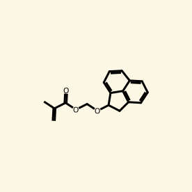 C=C(C)C(=O)OCOC1Cc2cccc3cccc1c23